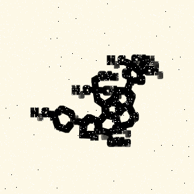 CO[C@@H](C)c1ncc(N2CCN(C)CC2)cc1-c1c(CC(C)(C)COC(C)=O)c2cc(B3OC(C)(C)C(C)(C)O3)cc3c2n1CCO3